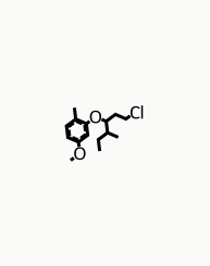 CCC(C)C(CCCl)Oc1cc(OC)ccc1C